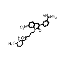 CC1CCC[C@@](C)(CCCCCn2c(=O)c(-c3cccc(C(=N)N)c3)cc3ccc([N+](=O)[O-])cc32)N1